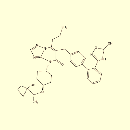 CCCc1c(Cc2ccc(-c3ccccc3C3=NOC(O)N3)cc2)c(=O)n([C@H]2CC[C@H](OC(C)C3(O)CCC3)CC2)c2ncnn12